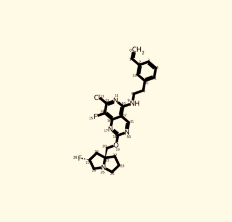 C=Cc1cccc(CCNc2nc(Cl)c(F)c3nc(OC[C@@]45CCCN4C[C@H](F)C5)ncc23)c1